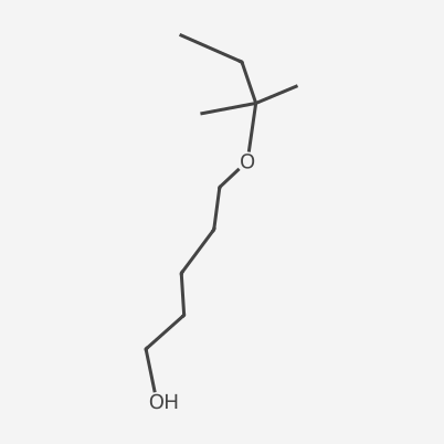 CCC(C)(C)OCCCCCO